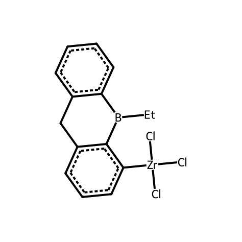 CCB1c2ccccc2Cc2ccc[c]([Zr]([Cl])([Cl])[Cl])c21